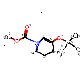 CC(C)(C)OC(=O)N1C=C(O[Si](C)(C)C)CCC1